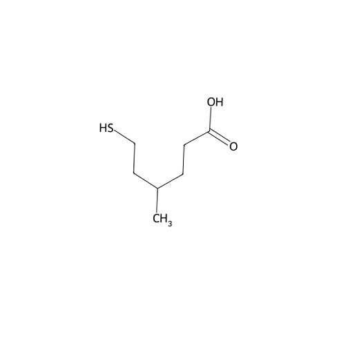 CC(CCS)CCC(=O)O